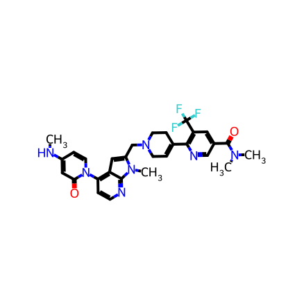 CNc1ccn(-c2ccnc3c2cc(CN2CC=C(c4ncc(C(=O)N(C)C)cc4C(F)(F)F)CC2)n3C)c(=O)c1